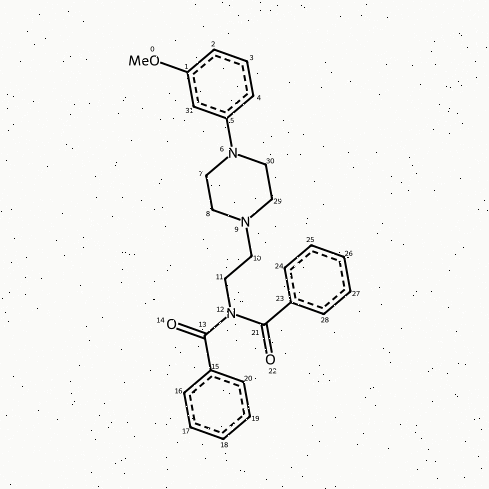 COc1cccc(N2CCN(CCN(C(=O)c3ccccc3)C(=O)c3ccccc3)CC2)c1